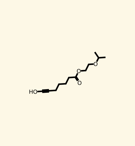 CC(C)OCCOC(=O)CCCCC#CO